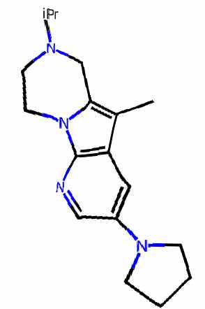 Cc1c2n(c3ncc(N4CCCC4)cc13)CCN(C(C)C)C2